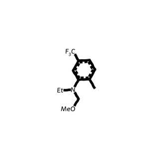 CCN(COC)c1cc(C(F)(F)F)ccc1C